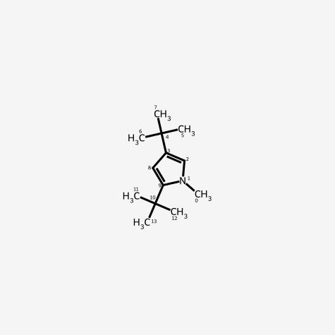 Cn1cc(C(C)(C)C)cc1C(C)(C)C